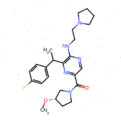 CO[C@H]1CCN(C(=O)c2cnc(NCCN3CCCC3)c(C(C)c3ccc(F)cc3)n2)C1